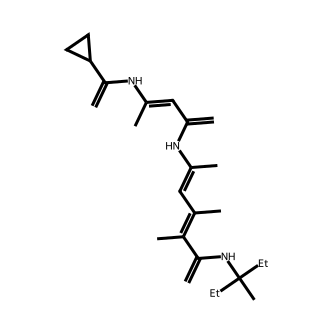 C=C(/C=C(\C)NC(=C)C1CC1)N/C(C)=C/C(C)=C(\C)C(=C)NC(C)(CC)CC